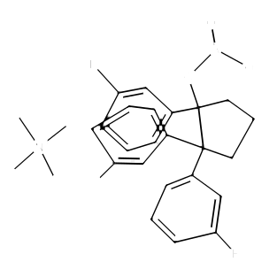 C[N+](C)(C)C.[O-]B(O)OC1(c2cccc(F)c2)CCCC1(c1cccc(F)c1)c1cccc(F)c1